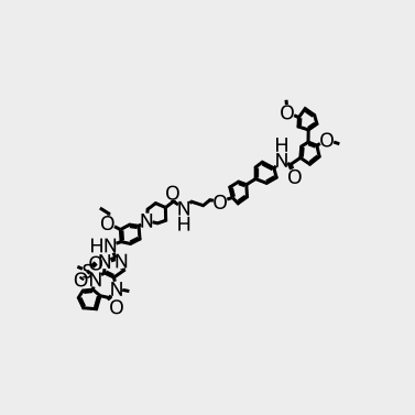 CCOc1cc(N2CCC(C(=O)NCCCOc3ccc(-c4ccc(NC(=O)c5ccc(OC)c(-c6cccc(OC)c6)c5)cc4)cc3)CC2)ccc1Nc1ncc2c(n1)N(S(C)(=O)=O)c1ccccc1C(=O)N2C